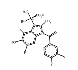 Cc1c([C@](C)(C(=O)O)C(C)C)c2c(F)c(O)c(F)cc2n1C(=O)c1ccc(F)c(F)c1